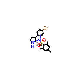 Cc1cc(C)c(S(=O)(=O)NC2(C(=O)O)NCCC2c2ccc(Br)cc2)c(C)c1